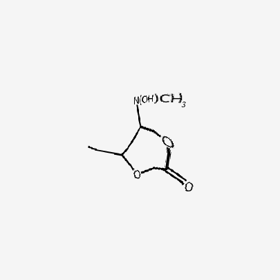 CC1OC(=O)OC1N(C)O